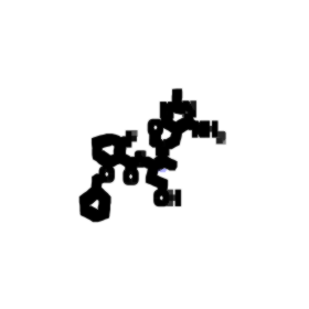 C/C(=C(\CCO)SC(=O)c1c(F)cccc1OCc1ccccc1)N(C=O)Cc1cnc(C)nc1N